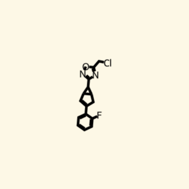 Fc1ccccc1C1=CC2C(C1)C2c1noc(CCl)n1